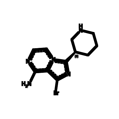 Nc1nccn2c([C@@H]3CCCNC3)nc(Br)c12